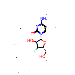 Nc1ccn([C@@H]2O[C@H](CO)C(F)C2O)c(=O)n1